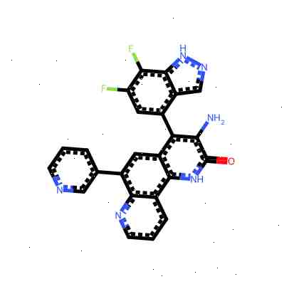 Nc1c(-c2cc(F)c(F)c3[nH]ncc23)c2cc(-c3cccnc3)c3ncccc3c2[nH]c1=O